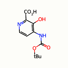 CC(C)(C)OC(=O)Nc1ccnc(C(=O)O)c1O